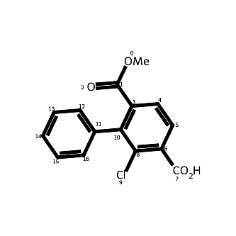 COC(=O)c1ccc(C(=O)O)c(Cl)c1-c1ccccc1